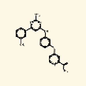 Cc1cccc(-c2cc(Nc3cccc(Oc4ccnc(C(N)=O)c4)c3)nc(N)n2)c1